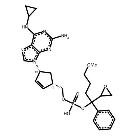 COCCCC(OP(=O)(O)OC[C@@H]1C=C[C@H](n2cnc3c(NC4CC4)nc(N)nc32)C1)(c1ccccc1)C1CO1